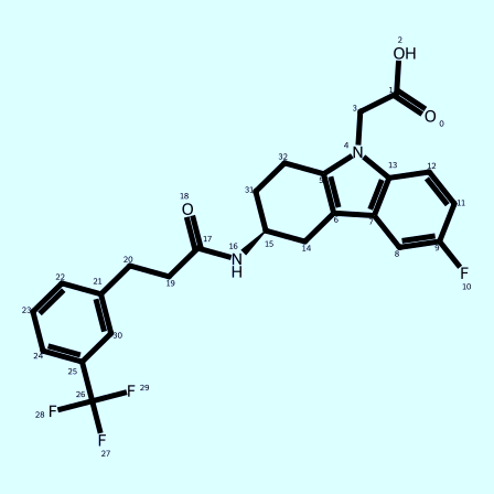 O=C(O)Cn1c2c(c3cc(F)ccc31)C[C@@H](NC(=O)CCc1cccc(C(F)(F)F)c1)CC2